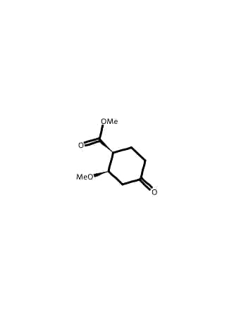 COC(=O)[C@H]1CCC(=O)C[C@H]1OC